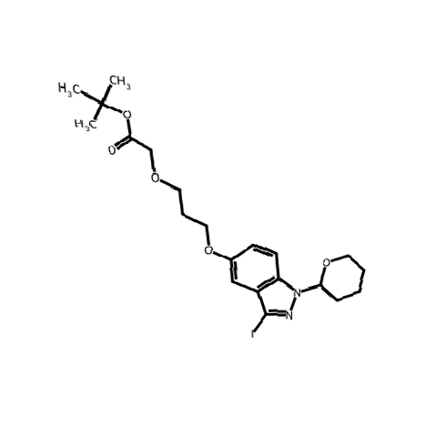 CC(C)(C)OC(=O)COCCCOc1ccc2c(c1)c(I)nn2C1CCCCO1